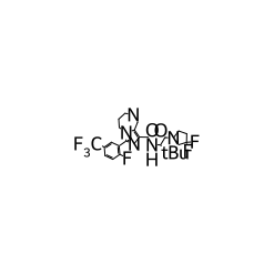 CN1CCCn2c(-c3cc(C(F)(F)F)ccc3F)nc(C(=O)N[C@H](C(=O)N3CCC(F)(F)C3)C(C)(C)C)c2C1